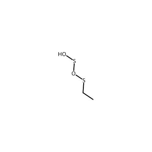 CCSOSO